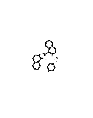 CCn1c(-c2c(OS(=O)(=O)c3ccc(C)cc3)ccc3ccccc23)nc2ccc3ccccc3c21